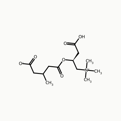 CC(CC(=O)[O-])CC(=O)O[C@@H](CC(=O)O)C[N+](C)(C)C